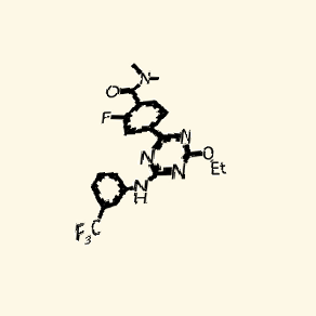 CCOc1nc(Nc2cccc(C(F)(F)F)c2)nc(-c2ccc(C(=O)N(C)C)c(F)c2)n1